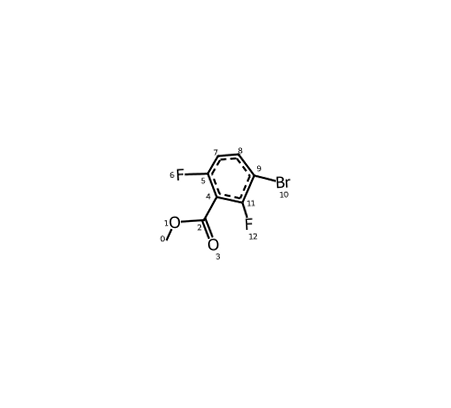 COC(=O)c1c(F)ccc(Br)c1F